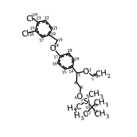 C=COC(CCO[Si](C)(C)C(C)(C)C)c1ccc(OCc2ccc(Cl)c(Cl)c2)cc1